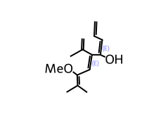 C=C/C=C(O)\C(=C\C(OC)=C(C)C)C(=C)C